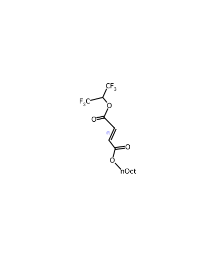 CCCCCCCCOC(=O)/C=C/C(=O)OC(C(F)(F)F)C(F)(F)F